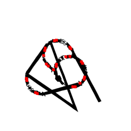 c1cc2ccc1CSSCc1ccc(cc1)-c1cc3cc(c1)-c1ccc(cc1)CSSCc1ccc(cc1)-c1nc4nc(n1)-c1ccc(cc1)CSSCc1ccc(cc1)-c1nc(nc(n1)-c1ccc(cc1)CSSCc1ccc-3cc1)-c1ccc(cc1)CSSCc1ccc(cc1)-c1cc-2cc(c1)-c1ccc(cc1)CSSCc1ccc-4cc1